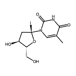 Cc1cn([C@@]2(I)C[C@H](O)[C@@H](CO)O2)c(=O)[nH]c1=O